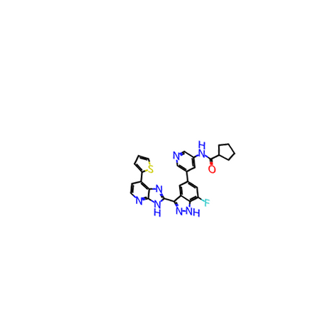 O=C(Nc1cncc(-c2cc(F)c3[nH]nc(-c4nc5c(-c6cccs6)ccnc5[nH]4)c3c2)c1)C1CCCC1